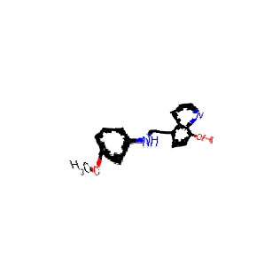 COc1cccc(NCc2ccc(O)c3ncccc23)c1